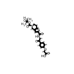 CC(C)(C)OC(=O)N1CCc2sc(C(=O)NCC(=O)c3ccc(OCC(=O)O)cc3)cc2C1